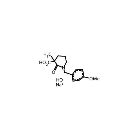 COc1ccc(CN2CCCC(C)(C(=O)O)C2=O)cc1.[Na+].[OH-]